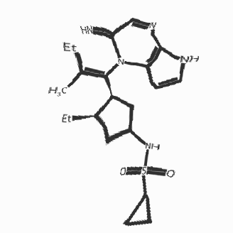 CC/C(C)=C(/[C@H]1CC(NS(=O)(=O)C2CC2)C[C@H]1CC)n1c(=N)cnc2[nH]ccc21